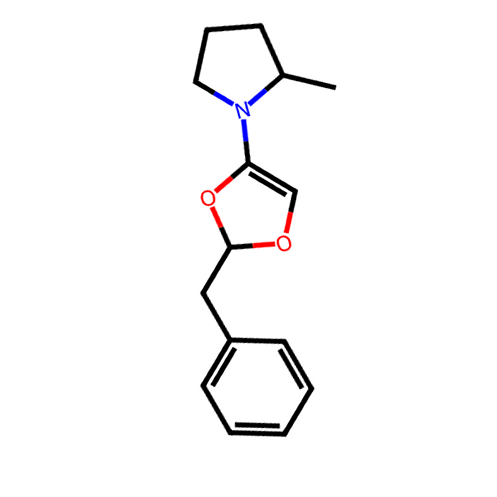 CC1CCCN1C1=COC(Cc2ccccc2)O1